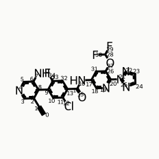 C#Cc1cncc(N)c1-c1cc(Cl)c(C(=O)Nc2cnc(-n3nccn3)c(OC(F)F)c2)cc1F